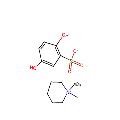 CCCC[N+]1(C)CCCCC1.O=S(=O)([O-])c1cc(O)ccc1O